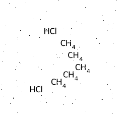 C.C.C.C.C.Cl.Cl